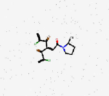 C=C(Cl)C(=S)C(=CC(=O)N1CCCC1C#N)C(=S)C(=C)Cl